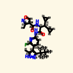 [2H]C([2H])([2H])C([2H])([2H])c1n[nH]c(C)c1-c1ccc(NC(=O)[C@@H](NC(=O)c2conc2C)C(C2CC2)C2CC2)nc1F